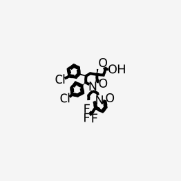 CCC(Cn1cc(C(F)(F)F)ccc1=O)N1C(=O)[C@@](C)(CC(=O)O)C[C@H](c2cccc(Cl)c2)[C@H]1c1ccc(Cl)cc1